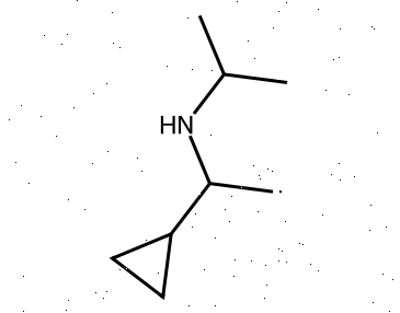 [CH2]C(NC(C)C)C1CC1